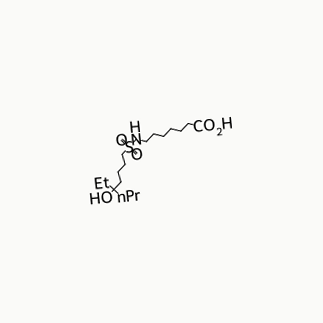 CCCC(O)(CC)CCCCS(=O)(=O)NCCCCCCC(=O)O